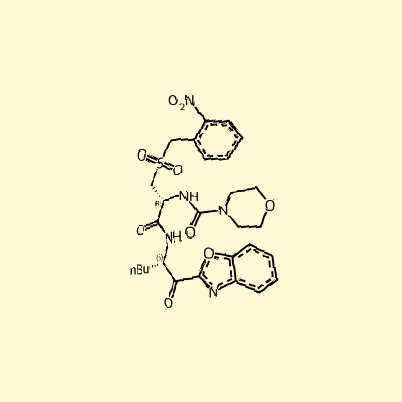 CCCC[C@H](NC(=O)[C@H](CS(=O)(=O)Cc1ccccc1[N+](=O)[O-])NC(=O)N1CCOCC1)C(=O)c1nc2ccccc2o1